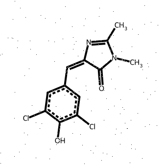 CC1=N/C(=C/c2cc(Cl)c(O)c(Cl)c2)C(=O)N1C